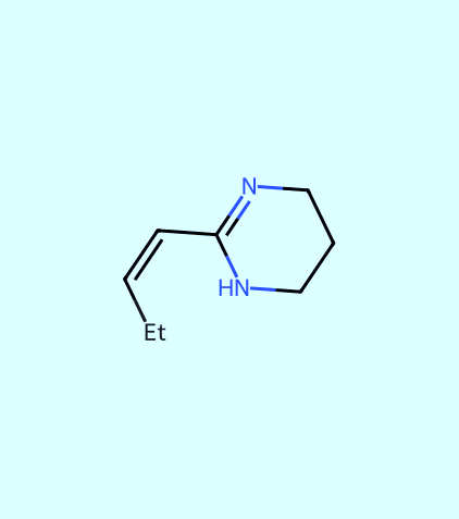 CC/C=C\C1=NCCCN1